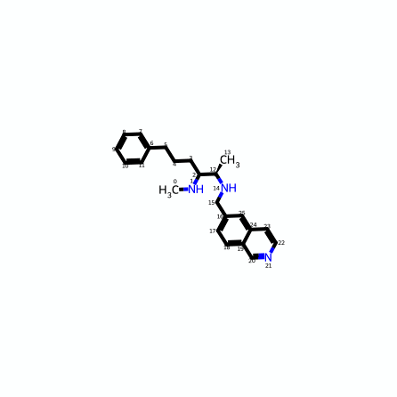 CNC(CCCc1ccccc1)[C@@H](C)NCc1ccc2cnccc2c1